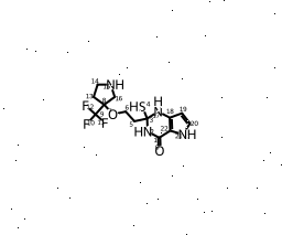 O=C1NC(S)(CCOC2(C(F)(F)F)CCNC2)Nc2cc[nH]c21